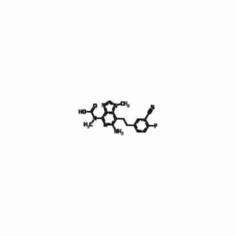 CN(C(=O)O)c1nc(N)c(CCc2ccc(F)c(C#N)c2)c2c1ncn2C